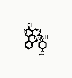 COC1CCC(Nc2ncc3c(Cl)ncc(-c4ccccc4C#N)c3n2)CC1